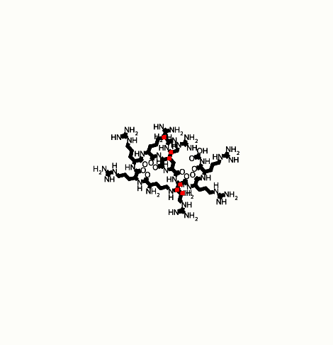 N=C(N)NCCCC(N)C(=O)NC(CCCNC(=N)N)C(=O)NC(CCCNC(=N)N)C(=O)NC(CCCNC(=N)N)C(=O)NC(CCCNC(=N)N)C(=O)NC(CCCNC(=N)N)C(=O)NC(CCCNC(=N)N)C(=O)NC(CCCNC(=N)N)C(=O)NC(CCCNC(=N)N)C(=O)NC(=O)O